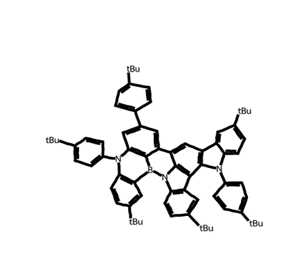 CC(C)(C)c1ccc(-c2cc3c4c(c2)N(c2ccc(C(C)(C)C)cc2)c2ccc(C(C)(C)C)cc2B4n2c4ccc(C(C)(C)C)cc4c4c2c-3cc2c3cc(C(C)(C)C)ccc3n(-c3ccc(C(C)(C)C)cc3)c24)cc1